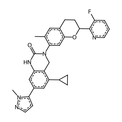 Cc1cc2c(cc1N1Cc3c(cc(-c4ccnn4C)cc3C3CC3)NC1=O)OC(c1ncccc1F)CC2